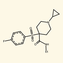 CCNC(=O)C1(S(=O)(=O)c2ccc(F)cc2)CCN(C2CC2)CC1